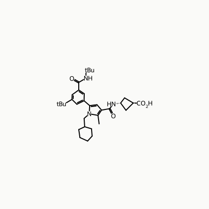 Cc1c(C(=O)N[C@H]2C[C@H](C(=O)O)C2)cc(-c2cc(C(=O)NC(C)(C)C)cc(C(C)(C)C)c2)n1CC1CCCCC1